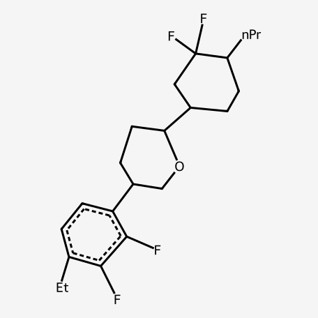 CCCC1CCC(C2CCC(c3ccc(CC)c(F)c3F)CO2)CC1(F)F